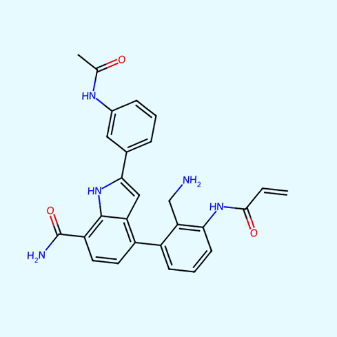 C=CC(=O)Nc1cccc(-c2ccc(C(N)=O)c3[nH]c(-c4cccc(NC(C)=O)c4)cc23)c1CN